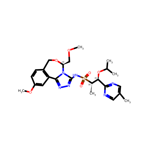 COC[C@@H]1OCc2ccc(OC)cc2-c2nnc(NS(=O)(=O)[C@@H](C)[C@@H](OC(C)C)c3ncc(C)cn3)n21